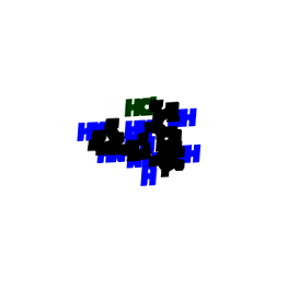 C1CC(Nc2nc(NC3CCNCC3)nc(NC3CCNCC3)n2)CCN1.Cl